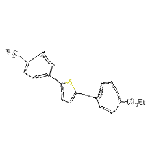 CCOC(=O)c1ccc(-c2ccc(-c3ccc(C(F)(F)F)cc3)s2)cc1